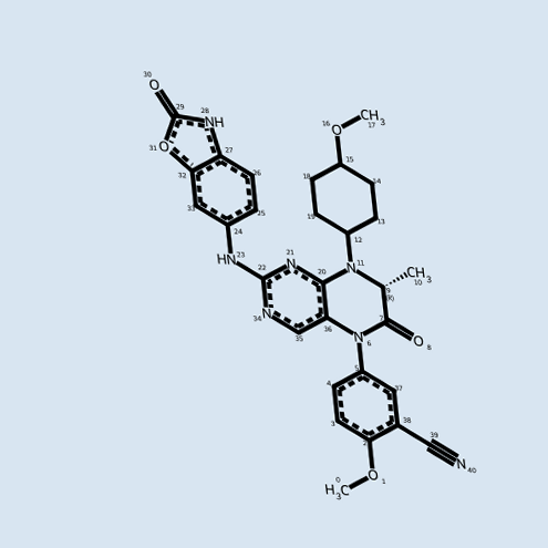 COc1ccc(N2C(=O)[C@@H](C)N(C3CCC(OC)CC3)c3nc(Nc4ccc5[nH]c(=O)oc5c4)ncc32)cc1C#N